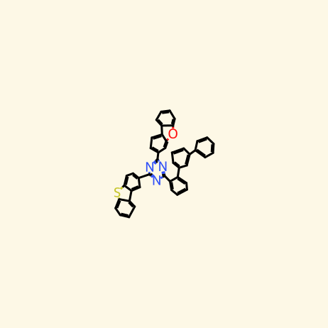 c1ccc(-c2cccc(-c3ccccc3-c3nc(-c4ccc5c(c4)oc4ccccc45)nc(-c4ccc5sc6ccccc6c5c4)n3)c2)cc1